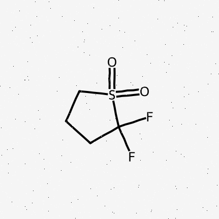 O=S1(=O)CCCC1(F)F